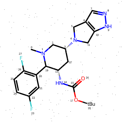 CN1C[C@H](N2Cc3cn[nH]c3C2)C[C@H](NC(=O)OC(C)(C)C)C1c1cc(F)ccc1F